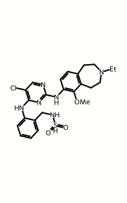 CCN1CCc2ccc(Nc3ncc(Cl)c(Nc4ccccc4CN[SH](=O)=O)n3)c(OC)c2CC1